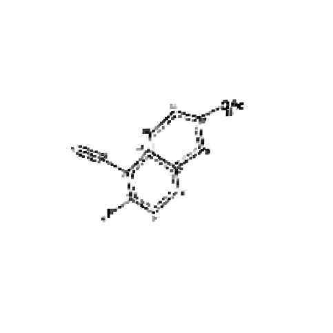 C#Cc1c(F)ccc2cc(OC(C)=O)ccc12